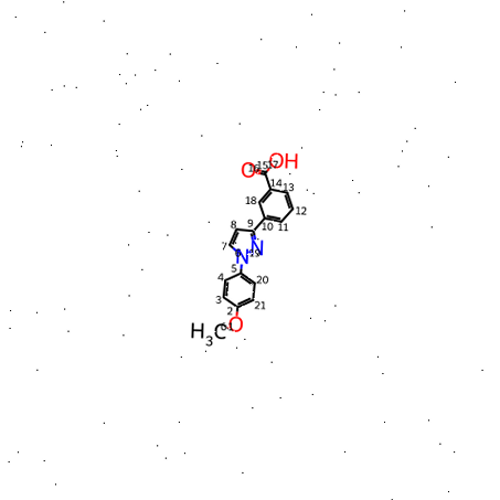 COc1ccc(-n2ccc(-c3cccc(C(=O)O)c3)n2)cc1